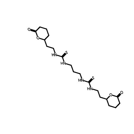 O=C1CCCC(CCNC(=S)NCCCNC(=S)NCCC2CCCC(=O)O2)O1